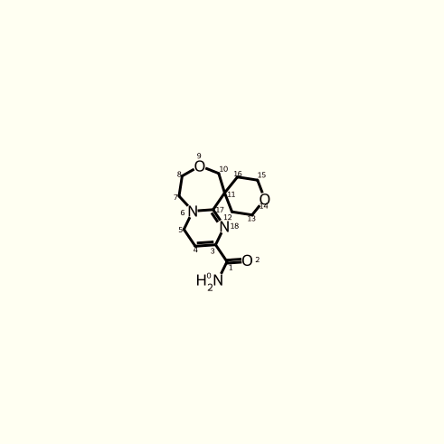 NC(=O)C1=CCN2CCOCC3(CCOCC3)C2=N1